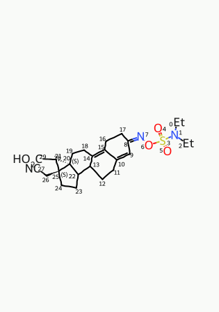 CCN(CC)S(=O)(=O)ON=C1C=C2CCC3C(=C2CC1)CC[C@@]1(C)C3CC[C@]1(CC#N)CC(=O)O